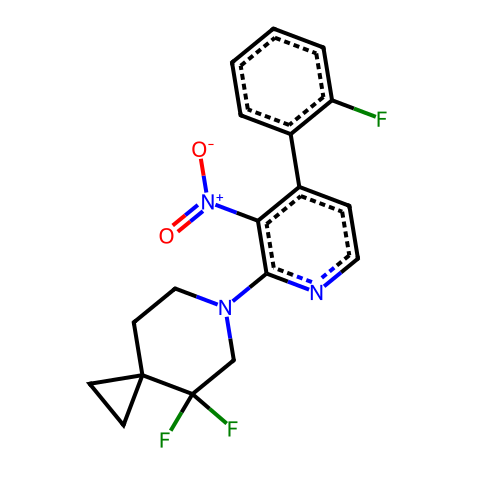 O=[N+]([O-])c1c(-c2ccccc2F)ccnc1N1CCC2(CC2)C(F)(F)C1